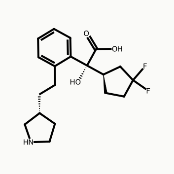 O=C(O)[C@](O)(c1ccccc1CC[C@@H]1CCNC1)[C@@H]1CCC(F)(F)C1